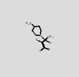 FC(F)=C(F)C(F)(N1CCC(C(F)(F)F)CC1)C(F)(F)F